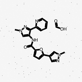 Cn1cc(-c2ccc(C(=O)Nc3cn(C)nc3-c3ccccn3)o2)cn1.O=CO